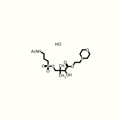 CC(=O)NCCCS(=O)(=O)OCC(C)(C)C(O)C(=O)OCCN1CCOCC1.Cl